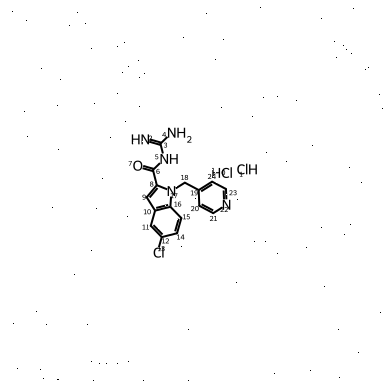 Cl.Cl.N=C(N)NC(=O)c1cc2cc(Cl)ccc2n1Cc1ccncc1